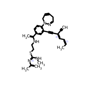 C#C/C(C#Cc1cc(C(=C)NCCS/C(=N/C(=C)C)NC)ccc1N1CC#CCC=N1)=C\C=C/C